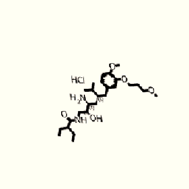 CCC(CC)C(=O)NC[C@H](O)[C@@H](N)C[C@H](Cc1ccc(OC)c(OCCCOC)c1)C(C)C.Cl